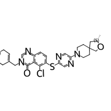 C[C@H]1CC2(CCN(c3cnc(Sc4ccc5ncn(CC6=CCOCC6)c(=O)c5c4Cl)cn3)CC2)CO1